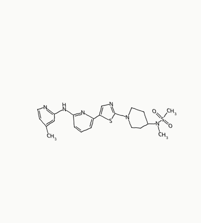 Cc1ccnc(Nc2cccc(-c3cnc(N4CCC(N(C)S(C)(=O)=O)CC4)s3)n2)c1